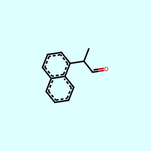 CC([C]=O)c1cccc2ccccc12